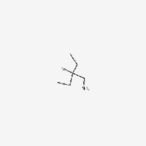 CCC(Br)(CC)CN